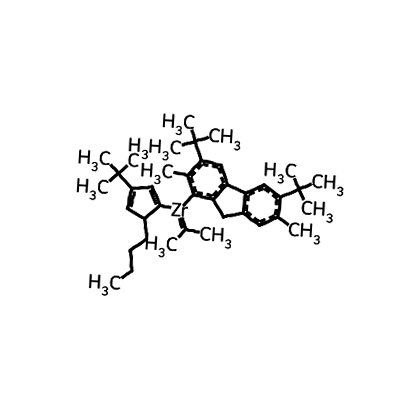 CCCCC1C=C(C(C)(C)C)C=[C]1[Zr](=[C](C)C)[c]1c(C)c(C(C)(C)C)cc2c1Cc1cc(C)c(C(C)(C)C)cc1-2